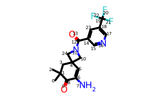 CC1(C)CC2(C=C(N)C1=O)CN(C(=O)c1cncc(C(F)(F)F)c1)C2